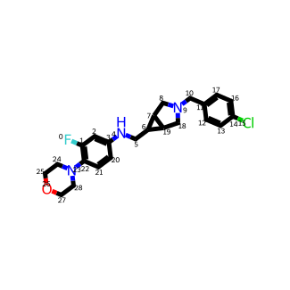 Fc1cc(NCC2C3CN(Cc4ccc(Cl)cc4)CC23)ccc1N1CCOCC1